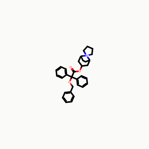 O=C(OC1CC2CCC(C1)[N+]21CCCC1)C(OCc1ccccc1)(c1ccccc1)c1ccccc1